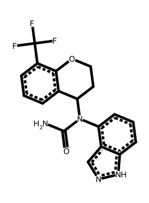 NC(=O)N(c1cccc2[nH]ncc12)C1CCOc2c1cccc2C(F)(F)F